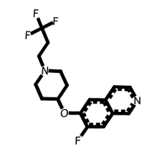 Fc1cc2cnccc2cc1OC1CCN(CCC(F)(F)F)CC1